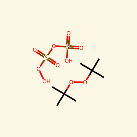 CC(C)(C)OOC(C)(C)C.O=S(=O)(O)OS(=O)(=O)OO